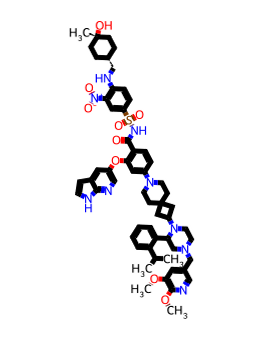 COc1cc(CN2CCN(C3CC4(CCN(c5ccc(C(=O)NS(=O)(=O)c6ccc(NC[C@H]7CC[C@](C)(O)CC7)c([N+](=O)[O-])c6)c(Oc6cnc7[nH]ccc7c6)c5)CC4)C3)C(c3ccccc3C(C)C)C2)cnc1OC